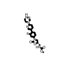 COC(=O)NC[C@H]1CN(c2ccc(-c3ccc(N4C=NNCC4)nc3)c(F)c2)C(=O)O1